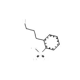 [3H]CCCc1ccccc1S(=O)(=O)Cl